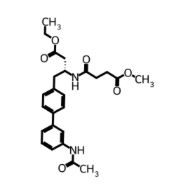 CCOC(=O)C[C@@H](Cc1ccc(-c2cccc(NC(C)=O)c2)cc1)NC(=O)CCC(=O)OC